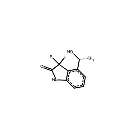 O=C1Nc2cccc([C@H](O)C(F)(F)F)c2C1(F)F